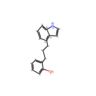 Oc1ccccc1CCCc1cccc2[nH]ccc12